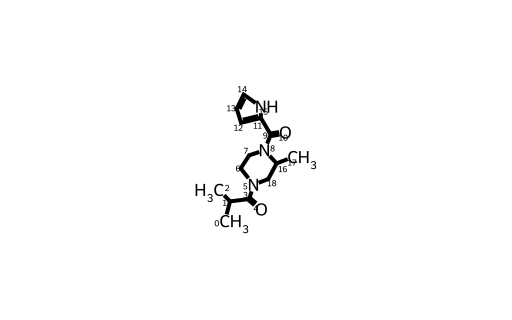 CC(C)C(=O)N1CCN(C(=O)c2ccc[nH]2)C(C)C1